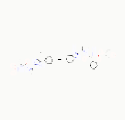 COC(=O)N[C@H](C(=O)N1CCC[C@H]1c1nc2c([nH]1)-c1ccc(C#Cc3ccc4nc([C@@H]5CCCN5C(=O)[C@H](NC(=O)OC5CCOCC5)c5ccccc5)[nH]c4c3)cc1CCC2)C(C)C